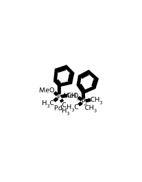 COP(C)(C)(C)c1ccccc1.COP(C)(C)(C)c1ccccc1.[Pd]